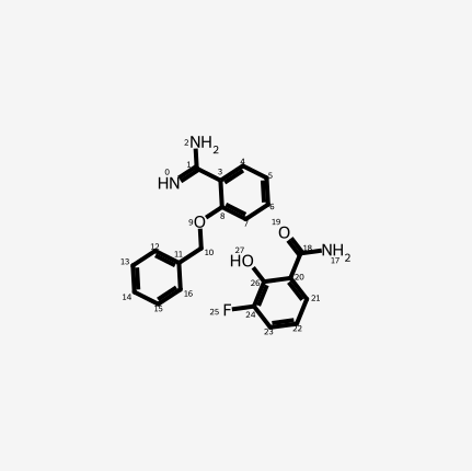 N=C(N)c1ccccc1OCc1ccccc1.NC(=O)c1cccc(F)c1O